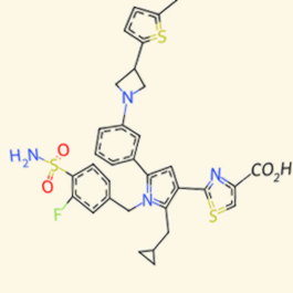 Cc1ccc(C2CN(c3cccc(-c4cc(-c5nc(C(=O)O)cs5)c(CC5CC5)n4Cc4ccc(S(N)(=O)=O)c(F)c4)c3)C2)s1